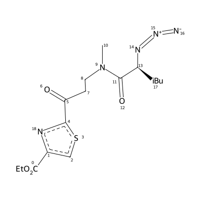 CCOC(=O)c1csc(C(=O)CCN(C)C(=O)[C@@H](N=[N+]=[N-])C(C)CC)n1